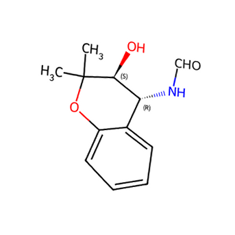 CC1(C)Oc2ccccc2[C@@H](NC=O)[C@@H]1O